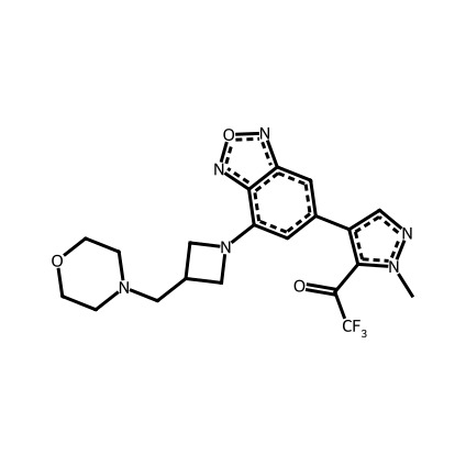 Cn1ncc(-c2cc(N3CC(CN4CCOCC4)C3)c3nonc3c2)c1C(=O)C(F)(F)F